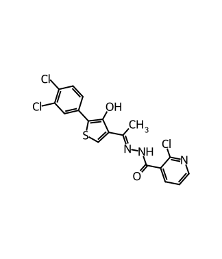 C/C(=N\NC(=O)c1cccnc1Cl)c1csc(-c2ccc(Cl)c(Cl)c2)c1O